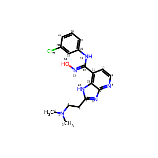 CN(C)CCc1nc2nccc(C(=NO)Nc3cccc(Cl)c3)c2[nH]1